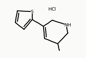 CC1C=C(c2cccs2)CNC1.Cl